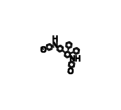 COc1ccc(Nc2ccc(-c3ccc(Nc4ccc(OC)cc4)c(-c4ccccc4)c3-c3ccccc3)cc2)cc1